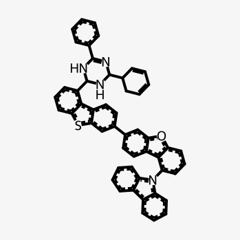 C1=CCC(C2N=C(c3ccccc3)NC(c3cccc4sc5cc(-c6ccc7c(c6)oc6cccc(-n8c9ccccc9c9ccccc98)c67)ccc5c34)N2)C=C1